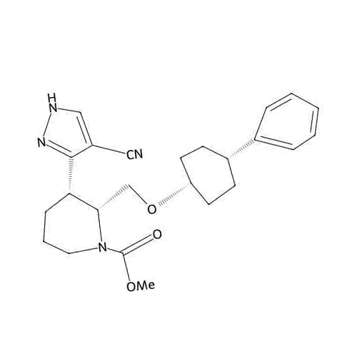 COC(=O)N1CCC[C@H](c2n[nH]cc2C#N)[C@@H]1CO[C@H]1CC[C@@H](c2ccccc2)CC1